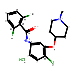 CN1CCC(Oc2cc(NC(=O)c3c(F)cccc3F)ccc2Cl)CC1.Cl